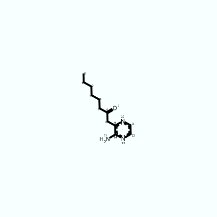 CCCCCCC(=O)Cc1nccnc1N